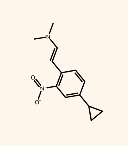 CN(C)C=Cc1ccc(C2CC2)cc1[N+](=O)[O-]